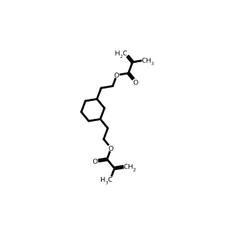 C=C(C)C(=O)OCCC1CCCC(CCOC(=O)C(=C)C)C1